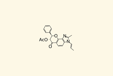 CC=Cn1c(C)nc2c3c(ccc21)C(=O)[C@H](OC(C)=O)[C@@H](c1ccccc1)O3